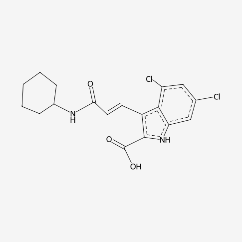 O=C(/C=C/c1c(C(=O)O)[nH]c2cc(Cl)cc(Cl)c12)NC1CCCCC1